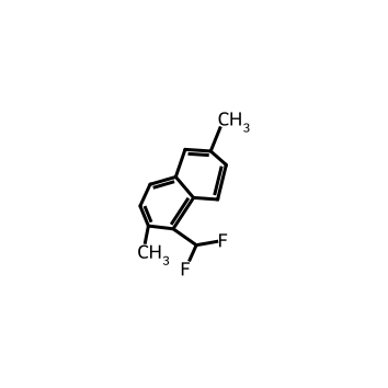 Cc1ccc2c(C(F)F)c(C)ccc2c1